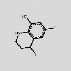 N#Cc1cc(F)cc2c1NCCC2F